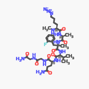 CN[C@@H](CCCCN=[N+]=[N-])C(=O)N[C@@H](C)C(=O)N[C@@](C)(Cc1ccccc1F)C(=O)N[C@H](C(=O)N[C@@H](CCC(N)=O)C(=O)NCC(=O)NCC(N)=O)C(C)C